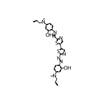 C=CCN(C)c1ccc(/N=N/c2ncc(-c3cnc(/N=N/c4ccc(N(C)CC=C)cc4O)s3)s2)c(O)c1